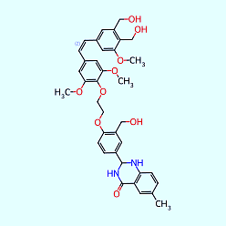 COc1cc(/C=C\c2cc(OC)c(OCCOc3ccc(C4NC(=O)c5cc(C)ccc5N4)cc3CO)c(OC)c2)cc(CO)c1CO